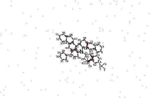 CC(C)(C)c1cc(-c2cccc3cccc(C4=CC=CCC4N(c4ccc(-c5ccccc5)cc4)c4ccccc4-c4cccc5c4ccc4ccccc45)c23)cc(C(C)(C)C)c1